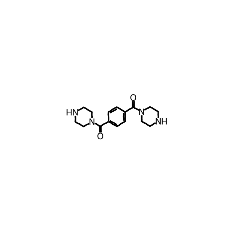 O=C(c1ccc(C(=O)N2CCNCC2)cc1)N1CCNCC1